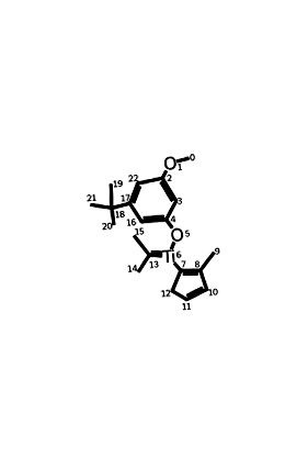 COc1cc([O][Ti]([C]2=C(C)C=CC2)=[C](C)C)cc(C(C)(C)C)c1